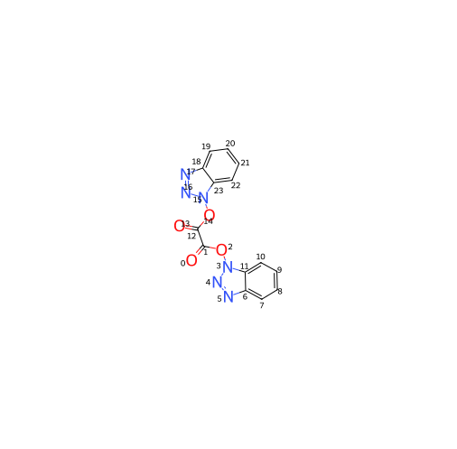 O=C(On1nnc2ccccc21)C(=O)On1nnc2ccccc21